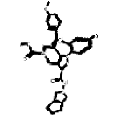 COC(=O)N1CC(=Cc2ccc(OC)cc2)c2c(c(C(=O)NN3CC4CCCC4C3)nn2-c2ccc(Cl)cc2Cl)C1